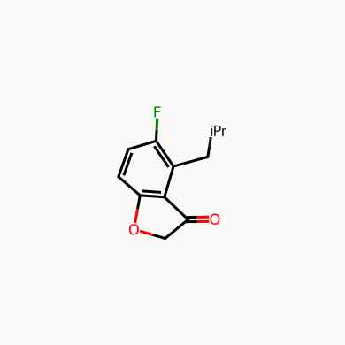 CC(C)Cc1c(F)ccc2c1C(=O)CO2